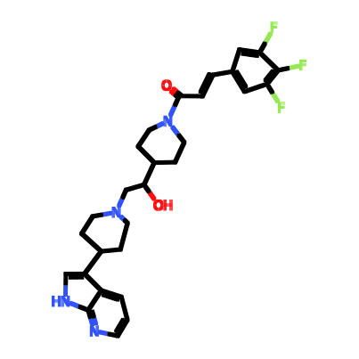 O=C(C=Cc1cc(F)c(F)c(F)c1)N1CCC(C(O)CN2CCC(c3c[nH]c4ncccc34)CC2)CC1